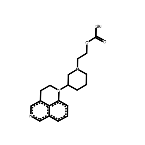 CC(C)(C)C(=O)OCCN1CCCC(N2CCc3cncc4cccc2c34)C1